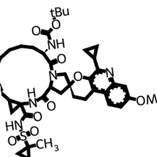 COc1ccc2c3c(c(C4CC4)nc2c1)O[C@]1(CC3)CC2C(=O)NC3(C(=O)NS(=O)(=O)C4(C)CC4)CC3/C=C\CCCCC[C@H](NC(=O)OC(C)(C)C)C(=O)N2C1